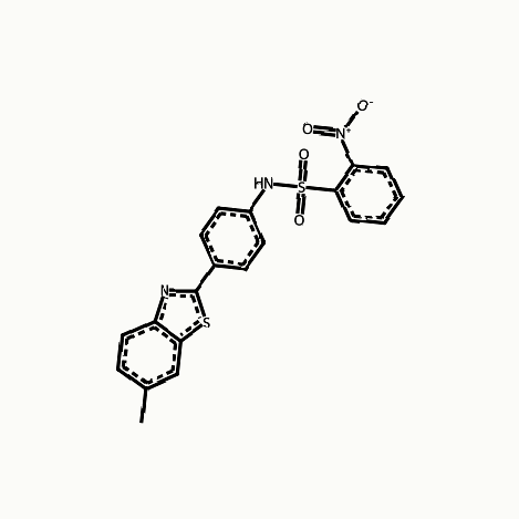 Cc1ccc2nc(-c3ccc(NS(=O)(=O)c4ccccc4[N+](=O)[O-])cc3)sc2c1